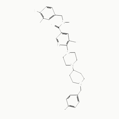 CCN(Cc1ccc(F)c(F)c1)C(=O)c1cnc(N2CCN(C3CCN(Cc4ccc(Cl)cc4)CC3)CC2)c(Br)c1